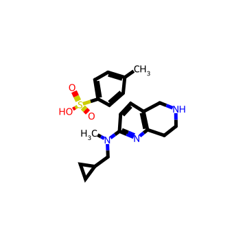 CN(CC1CC1)c1ccc2c(n1)CCNC2.Cc1ccc(S(=O)(=O)O)cc1